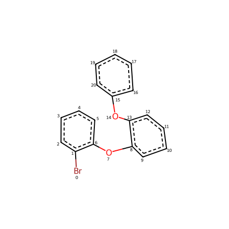 Brc1ccccc1Oc1ccccc1Oc1ccccc1